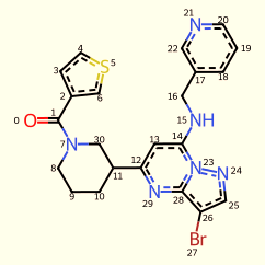 O=C(c1ccsc1)N1CCCC(c2cc(NCc3cccnc3)n3ncc(Br)c3n2)C1